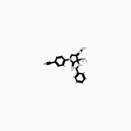 N#Cc1ccc(N2CC(=C=O)C(N)(OCc3ccccc3)C2=O)cc1